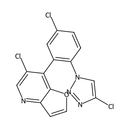 Clc1ccc(-n2cc(Cl)nn2)c(-c2c(Cl)cnc3ccoc23)c1